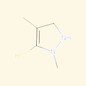 CC1=C(S)N(C)NC1